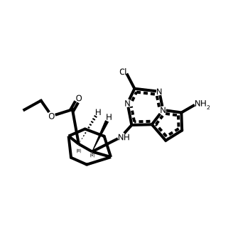 CCOC(=O)[C@@H]1C2CCC(CC2)[C@H]1Nc1nc(Cl)nn2c(N)ccc12